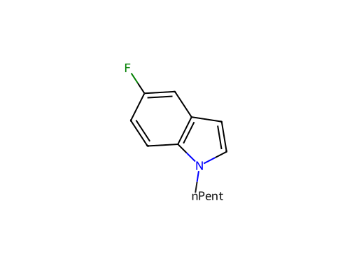 CCCCCn1ccc2cc(F)ccc21